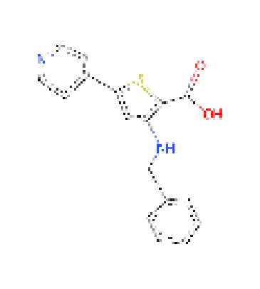 O=C(O)c1sc(-c2ccncc2)cc1NCc1ccccc1